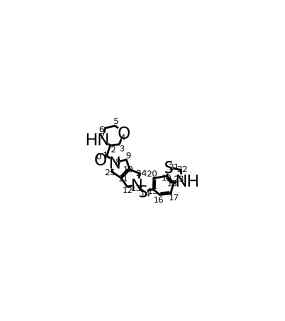 O=C(C1COCCN1)N1CC2=C(CN(Sc3ccc4c(c3)SCN4)C2)C1